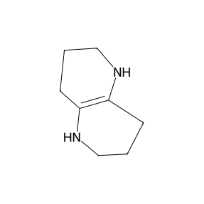 C1CNC2=C(C1)NCCC2